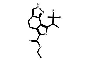 CCOC(=O)c1sc(C(C)C(F)(F)F)c2c1CCc1c[nH]nc1-2